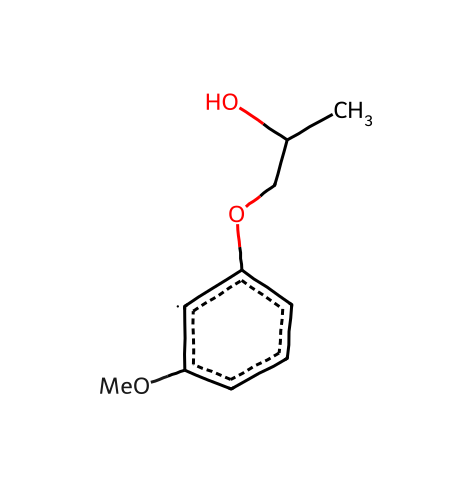 COc1[c]c(OCC(C)O)ccc1